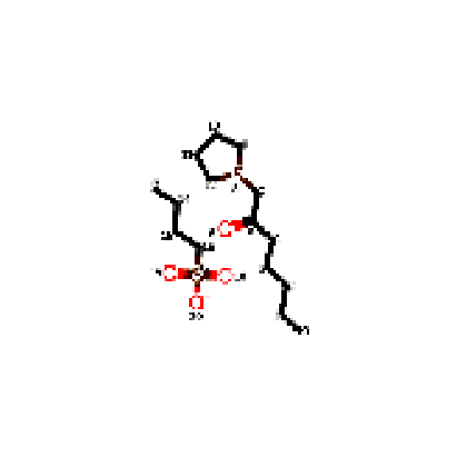 CCCCCC(=O)C[S+]1CCCC1.CCCCS(=O)(=O)[O-]